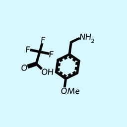 COc1ccc(CN)cc1.O=C(O)C(F)(F)F